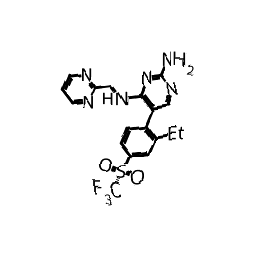 CCc1cc(S(=O)(=O)C(F)(F)F)ccc1-c1cnc(N)nc1NCc1ncccn1